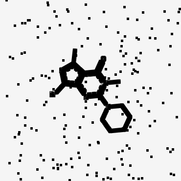 Cc1sc(Br)c2nc(N3CCCCC3)n(C)c(=O)c12